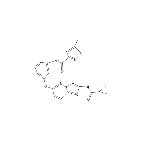 Cc1cc(C(=O)Nc2cccc(Oc3ccc4nc(NC(=O)C5CC5)cn4n3)c2)no1